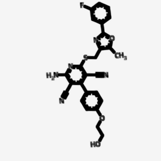 Cc1oc(-c2cccc(F)c2)nc1CSc1nc(N)c(C#N)c(-c2ccc(OCCO)cc2)c1C#N